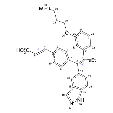 CC/C(=C(/c1ccc(/C=C/C(=O)O)cc1)c1ccc2[nH]ncc2c1)c1cccc(OCCCOC)c1